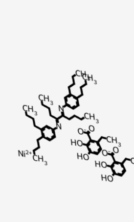 CCCCC(=Nc1ccc(CCCC)c(CCCC)c1)C(CCCC)=Nc1ccc(CCCC)c(CCCC)c1.CCc1ccc(O)c(O)c1C(=O)[O-].CCc1ccc(O)c(O)c1C(=O)[O-].[Ni+2]